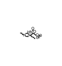 CCCC(C1NC(=O)OC1COS(C)(=O)=O)N1CCN(CCC)CC1